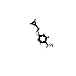 CC[CH]c1ccc(OCC2CC2)cc1